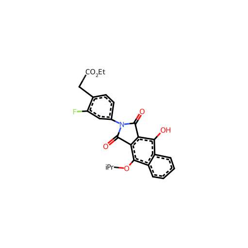 CCOC(=O)Cc1ccc(N2C(=O)c3c(c(OC(C)C)c4ccccc4c3O)C2=O)cc1F